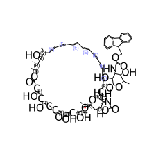 CO[C@]12C[C@@H](O)C[C@@H](O)[C@H](O)CC[C@@H](O)C[C@@H](O)CC(=O)O[C@@H](C)[C@H](C)[C@H](O)[C@@H](C)/C=C/C=C/C=C/C=C/C=C/C=C/C=C/[C@H](OC3OC(C)C(O)C(NC(=O)OCC4c5ccccc5-c5ccccc54)C3O)C[C@H](O1)[C@@H]1NC(=O)O[C@H]1C2